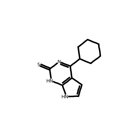 S=c1nc(C2CCCCC2)c2cc[nH]c2[nH]1